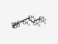 C/C(=C\COC(=O)Nc1ccco1)CCCC(C)CCCC(C)CCCC(C)C